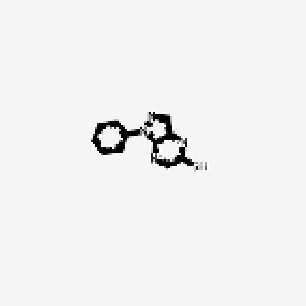 Sc1cnc2c(cnn2-c2ccccc2)n1